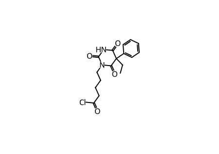 CCC1(c2ccccc2)C(=O)NC(=O)N(CCCCC(=O)Cl)C1=O